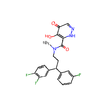 CCCN(CCC(c1cccc(F)c1)c1ccc(F)c(F)c1)C(=O)c1[nH]ncc(=O)c1O